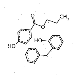 CCCOC(=O)c1ccc(O)cc1.Oc1ccccc1Cc1ccccc1